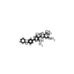 CNC(=O)C(CC(N)=O)NC(=O)c1c(C)nc(-c2ccc(OC3CCCCC3)cc2)nc1C